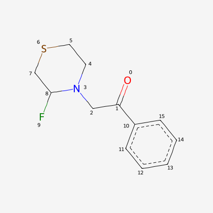 O=C(CN1CCSCC1F)c1ccccc1